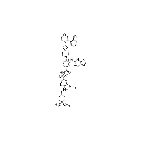 CC(C)c1ccccc1[C@H]1COCCN1C1CC2(CCN(c3ccc(C(=O)NS(=O)(=O)c4cnc(NCC5CCC(C)(C)CC5)c([N+](=O)[O-])c4)c(Oc4cc5cc[nH]c5nc4N)c3)CC2)C1